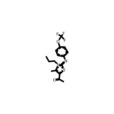 CCCn1c(C)c(C(C)=O)sc1=Nc1ccc(OC(F)(F)F)cc1